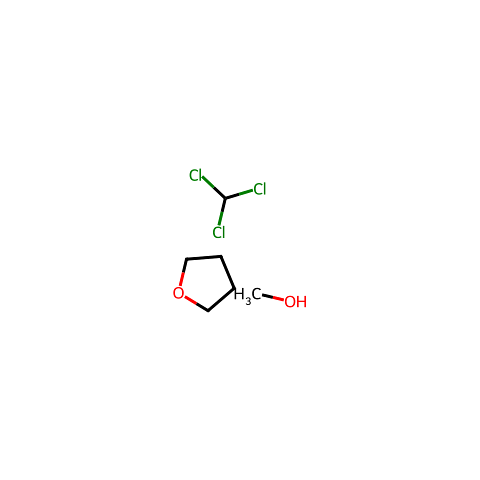 C1CCOC1.CO.ClC(Cl)Cl